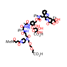 CC[C@@]1(O)C(=O)OCc2c1cc1n(c2=O)Cc2c-1nc1ccccc1c2CCN(C(=O)OCc1ccc(NC(=O)[C@H](C)NC(=O)[C@@H](NC(=O)CCC(=O)N(CCOCCOCCC(=O)O)C2CCN(C(=O)CCC(=O)NC)CC2)C(C)C)c(O[C@@H]2O[C@H](C(=O)O)[C@@H](O)[C@H](O)[C@H]2O)c1)C(C)C